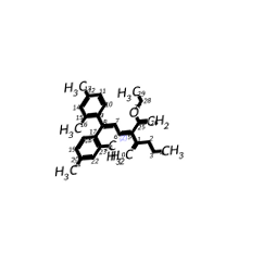 C=C(CCC)/C(=C/C=C(c1ccc(C)cc1C)c1ccc(C)cc1C)C(=C)OCC